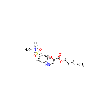 CCCCCOC(=O)C1CNc2ccc(S(=O)(=O)N(C)C)cc2O1